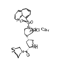 Cl.Cl.Cl.O=C([C@@H]1C[C@H](N2CCN(S(=O)(=O)c3cccc4cccnc34)CC2)CN1)N1CCSC1